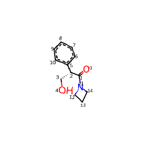 O=C([C@H](CO)c1ccccc1)N1CCC1